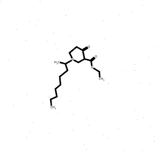 CCCCCCCC(C)N1CCC(=O)C(C(=O)OCC)C1